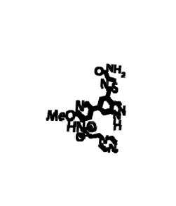 COc1ncc(-c2cc(-c3nc(C(N)=O)cs3)c3cn[nH]c3c2)cc1NS(=O)(=O)CCN1CCN(C)CC1